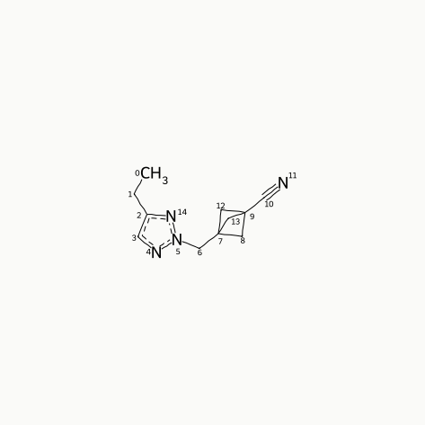 CCc1cnn(CC23CC(C#N)(C2)C3)n1